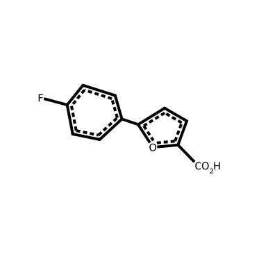 O=C(O)c1ccc(-c2ccc(F)cc2)o1